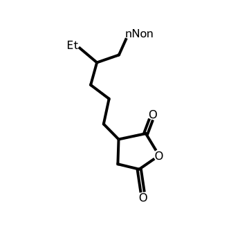 CCCCCCCCCCC(CC)CCCC1CC(=O)OC1=O